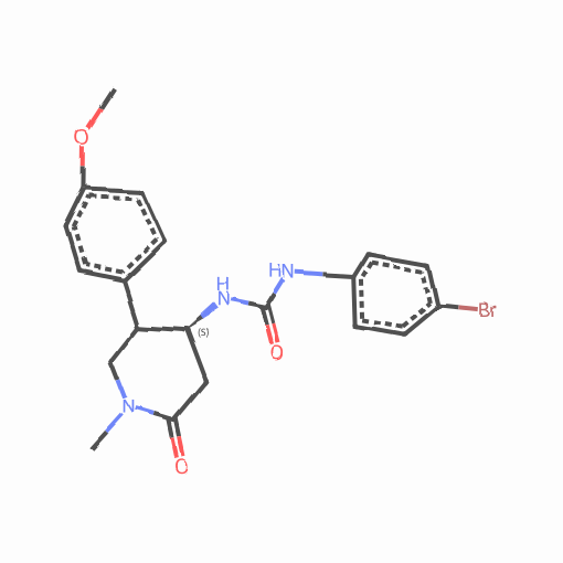 COc1ccc(C2CN(C)C(=O)C[C@@H]2NC(=O)Nc2ccc(Br)cc2)cc1